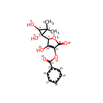 CC1(C)C(O)[C@]1(O)[C@H]1OC(=O)C(OC(=O)c2ccccc2)=C1O